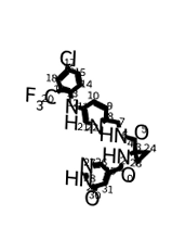 O=C(NC1(C(=O)NCc2ccc(Nc3ccc(Cl)cc3C(F)(F)F)cn2)CC1)c1cn[nH]c(=O)c1